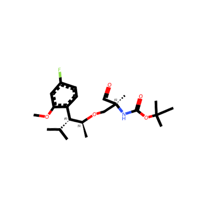 COc1cc(F)ccc1[C@@H](C(C)C)[C@H](C)OC[C@@](C)(C=O)NC(=O)OC(C)(C)C